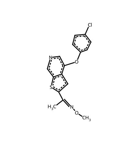 CON=C(C)c1cc2c(Oc3ccc(Cl)cc3)cncc2s1